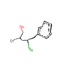 CCC(O)C(Br)c1ccccc1